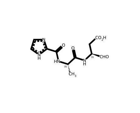 C[C@H](NC(=O)c1ncc[nH]1)C(=O)N[C@H](C=O)CC(=O)O